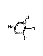 Clc1ccc[n+](Cl)c1Cl.[NaH]